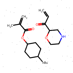 C=C(C)C(=O)OC1CCC(CCCC)CC1.C=CC(=O)C1CNCCO1